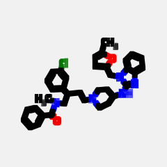 Cc1ccc(Cn2c(NC3CCN(CCC(CN(C)C(=O)c4ccccc4)c4cccc(Cl)c4)CC3)nc3ccccc32)o1